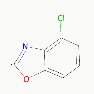 Clc1cccc2o[c]nc12